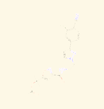 CC(=O)OC(C)(C)c1cc(C(=O)N[C@@H](C)Cn2ccc(-c3ccc(C#N)c(Cl)c3)n2)no1